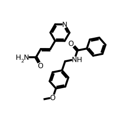 COc1ccc(CNC(=O)c2ccccc2)cc1.NC(=O)/C=C/c1ccncc1